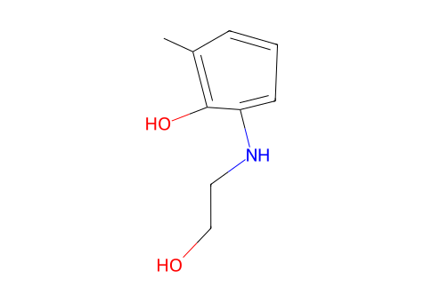 Cc1cccc(NCCO)c1O